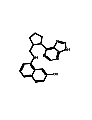 Oc1ccc2cccc(NCC3CCCN3c3ncnc4[nH]cnc34)c2c1